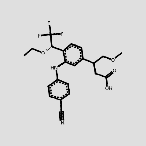 CCO[C@@H](c1ccc(C(COC)CC(=O)O)cc1Nc1ccc(C#N)cc1)C(F)(F)F